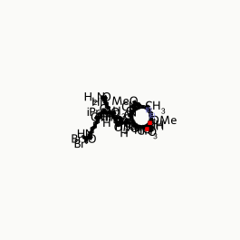 COc1cc(NC(=O)[C@H](CCCNC(N)=O)NC(=O)[C@@H](NC(=O)CCCCCNC(=O)C(CBr)CBr)C(C)C)ccc1NC(=O)O[C@H]1CC(=O)N(C)c2cc(cc(OC)c2Cl)C/C(C)=C/C=C/[C@@H](OC)[C@@]2(O)C[C@H](OC(=O)N2)[C@@H](C)[C@@H]2O[C@@]12C